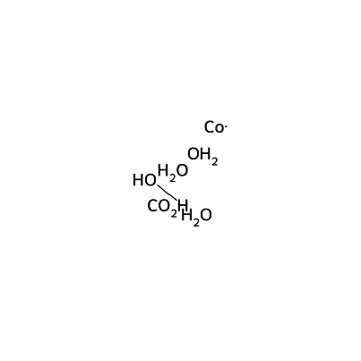 O.O.O.O=C(O)O.[Co]